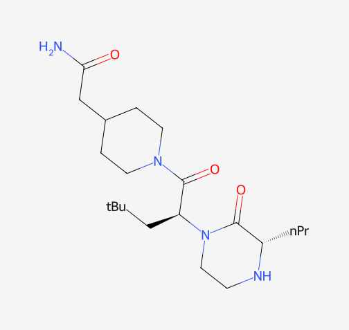 CCC[C@@H]1NCCN([C@@H](CC(C)(C)C)C(=O)N2CCC(CC(N)=O)CC2)C1=O